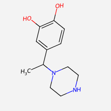 CC(c1ccc(O)c(O)c1)N1CCNCC1